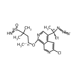 CC[C@@](C)(N=[N+]=[N-])c1cnc(O[C@H](C)CC(C)(C)[SH](=N)=O)c2cnc(Cl)cc12